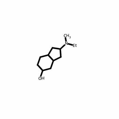 CCN(C)C1CC2CCC(O)CC2C1